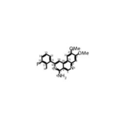 COc1cc2ncc3c(N)nc(-c4cccc(F)c4C)cc3c2cc1OC